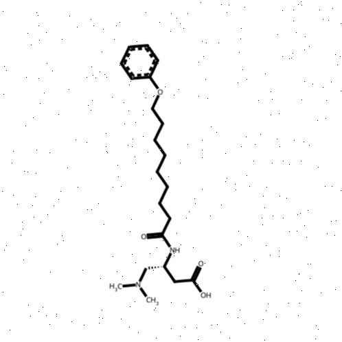 CN(C)C[C@@H](CC(=O)O)NC(=O)CCCCCCCCOc1ccccc1